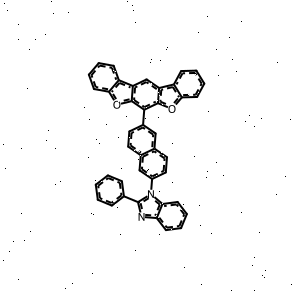 c1ccc(-c2nc3ccccc3n2-c2ccc3cc(-c4c5oc6ccccc6c5cc5c4oc4ccccc45)ccc3c2)cc1